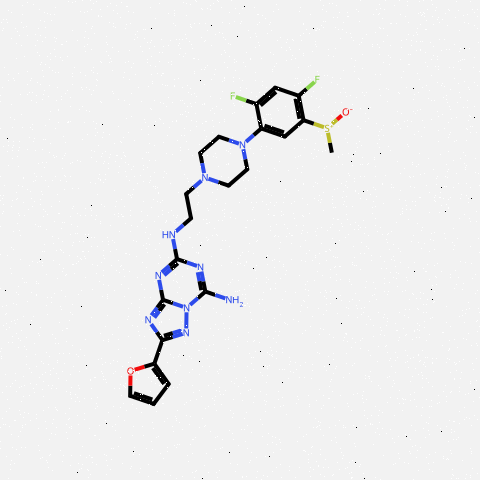 C[S+]([O-])c1cc(N2CCN(CCNc3nc(N)n4nc(-c5ccco5)nc4n3)CC2)c(F)cc1F